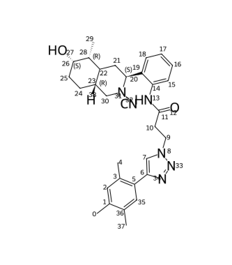 Cc1cc(C)c(-c2cn(CCC(=O)Nc3ccccc3[C@@H]3CC4[C@@H](CC[C@H](O)[C@@H]4C)CN3C#N)nn2)cc1C